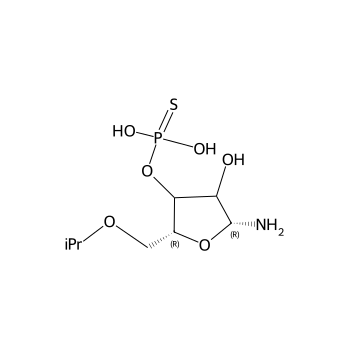 CC(C)OC[C@H]1O[C@@H](N)C(O)C1OP(O)(O)=S